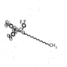 CCCCCCCCCCCCCCCCCCOC[C@H](COP(=O)(Oc1ccc([N+](=O)[O-])cc1)Oc1ccc([N+](=O)[O-])cc1)OCc1ccc(F)c(F)c1